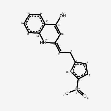 O=[N+]([O-])c1ccc(C/C=C2\C=C(O)c3ccccc3N2)s1